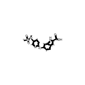 CN(c1ccc(Oc2ccc3cc(C(=O)O)[nH]c3c2)nc1)S(C)(=O)=O